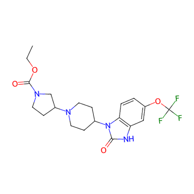 CCOC(=O)N1CCC(N2CCC(n3c(=O)[nH]c4cc(OC(F)(F)F)ccc43)CC2)C1